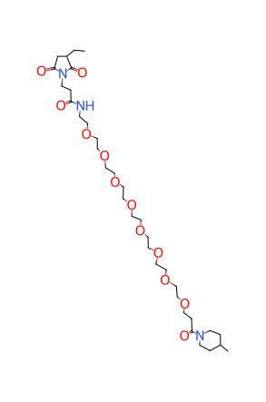 CCC1CC(=O)N(CCC(=O)NCCOCCOCCOCCOCCOCCOCCOCCOCCC(=O)N2CCC(C)CC2)C1=O